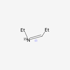 [13CH3]C/C=[15N]\[13CH2][13CH3]